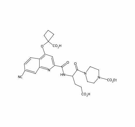 CCOC(=O)N1CCN(C(=O)C(CCC(=O)O)NC(=O)c2cc(OC3(C(=O)O)CCC3)c3ccc(C#N)cc3n2)CC1